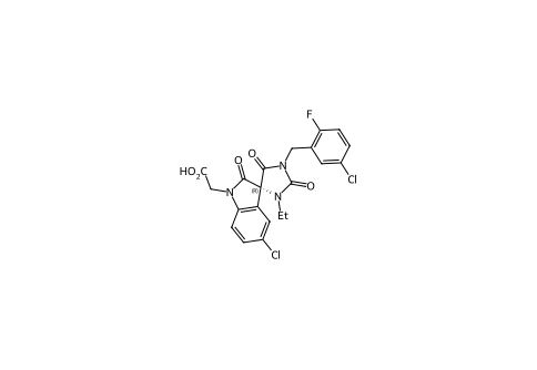 CCN1C(=O)N(Cc2cc(Cl)ccc2F)C(=O)[C@@]12C(=O)N(CC(=O)O)c1ccc(Cl)cc12